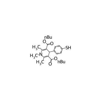 CCCCOC(=O)C1=C(C)N(C)C(C)=C(C(=O)OCCCC)C1c1ccc(S)cc1